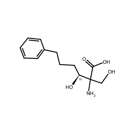 NC(CO)(C(=O)O)[C@@H](O)CCCc1ccccc1